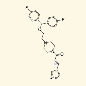 O=C(/C=C/c1ccsc1)N1CCN(CCOC(c2ccc(F)cc2)c2ccc(F)cc2)CC1